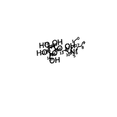 CCCC[N+](C)(CCCC)CC(O)CO[C@H]1O[C@H](CO)[C@H](O)[C@H](O)[C@H]1O